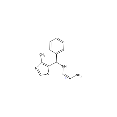 Cc1ncsc1C(N/C=C\N)c1ccccc1